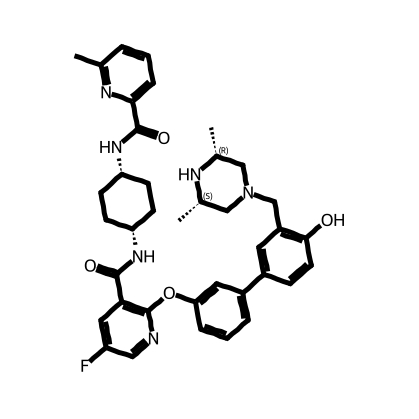 Cc1cccc(C(=O)N[C@H]2CC[C@@H](NC(=O)c3cc(F)cnc3Oc3cccc(-c4ccc(O)c(CN5C[C@@H](C)N[C@@H](C)C5)c4)c3)CC2)n1